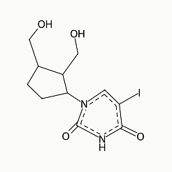 O=c1[nH]c(=O)n(C2CCC(CO)C2CO)cc1I